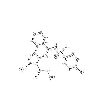 CCCCOC(=O)c1c(C)oc2c1cc(NS(=O)(=O)c1ccc(CC)cc1)c1ccccc12